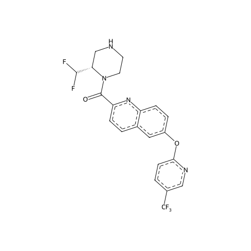 O=C(c1ccc2cc(Oc3ccc(C(F)(F)F)cn3)ccc2n1)N1CCNC[C@H]1C(F)F